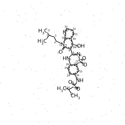 CC(C)CCn1c(=O)c(C2=NS(=O)(=O)c3cc(NS(=O)(=O)C(C)C)ccc3N2)c(O)c2cccnc21